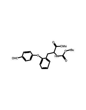 COC(=O)C(Cc1ccccc1Oc1ccc(C=O)cc1)NC(=O)OC(C)(C)C